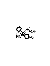 COc1ccccc1-c1c(C#N)c2ccc(Br)cc2n1C[C@H](C)CO